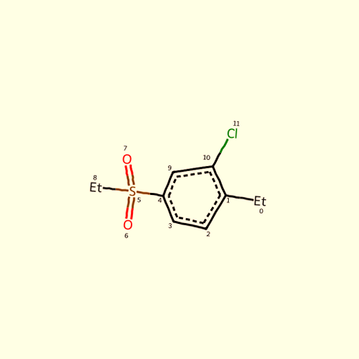 CCc1ccc(S(=O)(=O)CC)cc1Cl